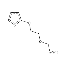 CCCCCCOCCOc1cccs1